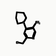 Cc1cnc(CCl)cc1N1CCCCC1